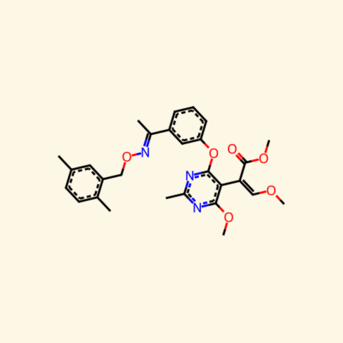 COC=C(C(=O)OC)c1c(OC)nc(C)nc1Oc1cccc(C(C)=NOCc2cc(C)ccc2C)c1